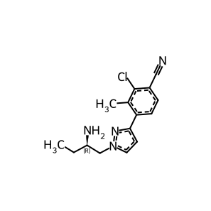 CC[C@@H](N)Cn1ccc(-c2ccc(C#N)c(Cl)c2C)n1